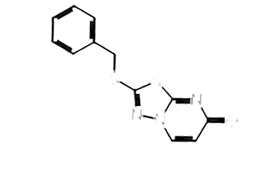 O=c1ccn2nc(SCc3ccccc3)sc2n1